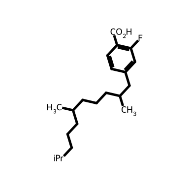 CC(C)CCCC(C)CCCC(C)Cc1ccc(C(=O)O)c(F)c1